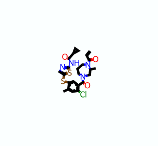 C=CC(=O)N1CCCN(C(=O)c2cc(Sc3cnc(NC(=O)C4CC4)s3)c(C)cc2Cl)CC1C